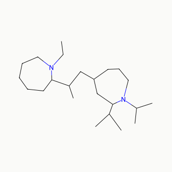 CCN1CCCCCC1C(C)CC1CCCN(C(C)C)C(C(C)C)C1